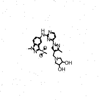 Cc1nn(-c2ccnc(Nc3ccc4c(c3)c(S(C)(=O)=O)nn4C)n2)cc1CN1CC(O)C(O)C1